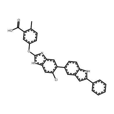 Cc1ccc(Oc2nc3cc(-c4ccc5[nH]c(-c6ccccc6)cc5c4)c(Cl)cc3[nH]2)cc1C(=O)O